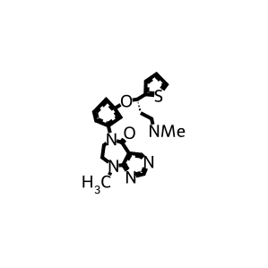 CNCC[C@H](Oc1cccc(N2CCN(C)c3ncncc3C2=O)c1)c1cccs1